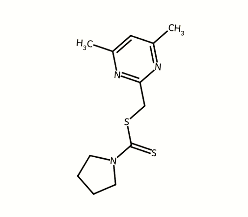 Cc1cc(C)nc(CSC(=S)N2CCCC2)n1